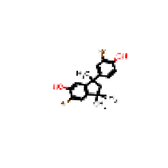 CC1(C)CC(C)(c2ccc(O)c(Br)c2)c2cc(O)c(Br)cc21